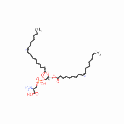 CCCCCC/C=C\CCCCCCCC(=O)OC[C@H](COP(=O)(O)OC[C@H](N)C(=O)O)OC(=O)CCCCCCC/C=C\CCCCCC